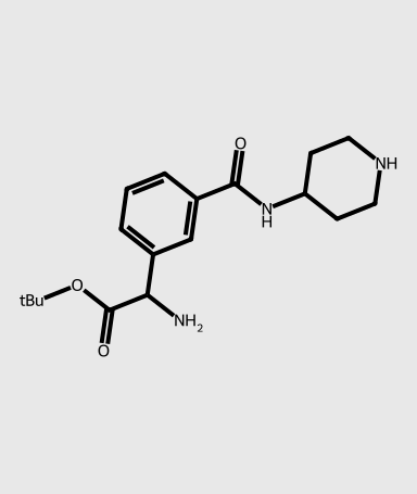 CC(C)(C)OC(=O)C(N)c1cccc(C(=O)NC2CCNCC2)c1